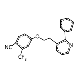 N#Cc1ccc(OCCc2cccnc2-c2ccccc2)cc1C(F)(F)F